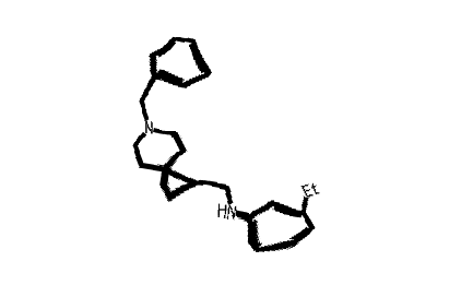 CCc1cccc(NCC2CC23CCN(Cc2ccccc2)CC3)c1